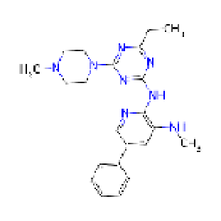 CCc1nc(Nc2ncc(-c3ccccc3)cc2NC)nc(N2CCN(C)CC2)n1